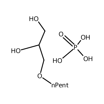 CCCCCOCC(O)CO.O=P(O)(O)O